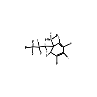 FC1=C(F)C(F)C(C(F)(F)C(F)(F)C(F)(F)F)([AsH](F)(F)F)C(F)=C1F